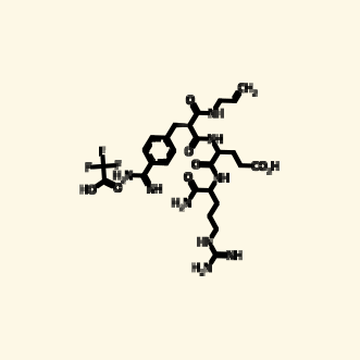 C=CCNC(=O)[C@H](Cc1ccc(C(=N)N)cc1)C(=O)NC(CCC(=O)O)C(=O)NC(CCCNC(=N)N)C(N)=O.O=C(O)C(F)(F)F